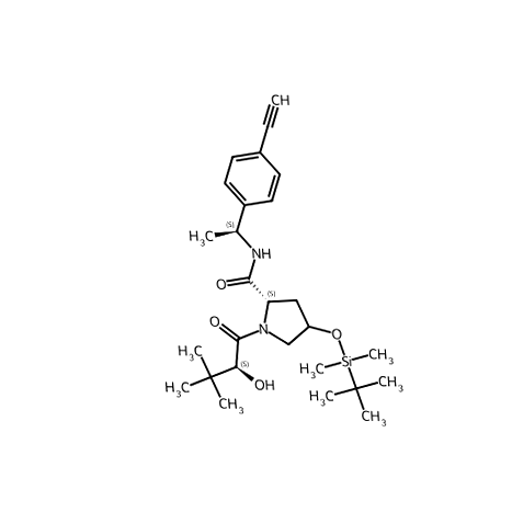 C#Cc1ccc([C@H](C)NC(=O)[C@@H]2CC(O[Si](C)(C)C(C)(C)C)CN2C(=O)[C@@H](O)C(C)(C)C)cc1